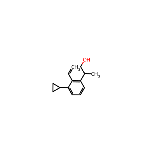 C=Cc1c([C](C)CO)cccc1C1CC1